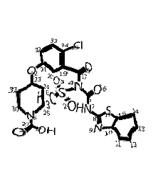 CS(=O)(=O)N(C(=O)Nc1nc2ccccc2s1)C(=O)c1cc(OC2CCN(C(=O)O)CC2)ccc1Cl